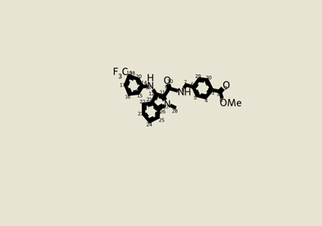 COC(=O)c1ccc(CNC(=O)c2c(Nc3cccc(C(F)(F)F)c3)c3ccccc3n2C)cc1